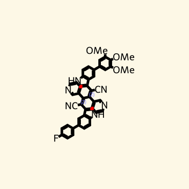 COc1cc(-c2ccc3[nH]cc(/C(C#N)=C(\C(=C(\C#N)c4c[nH]c5ccc(-c6ccc(F)cc6)cc45)c4cccnc4)c4cccnc4)c3c2)cc(OC)c1OC